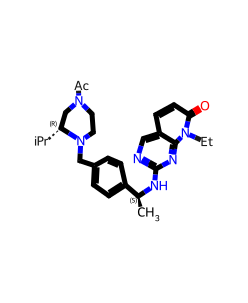 CCn1c(=O)ccc2cnc(N[C@@H](C)c3ccc(CN4CCN(C(C)=O)C[C@H]4C(C)C)cc3)nc21